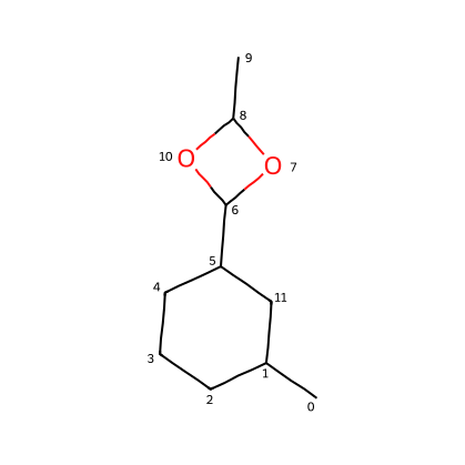 CC1CCCC(C2OC(C)O2)C1